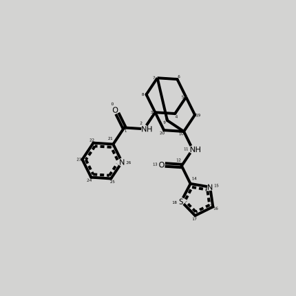 O=C(NC12CC3CC(C1)CC(NC(=O)c1nccs1)(C3)C2)c1ccccn1